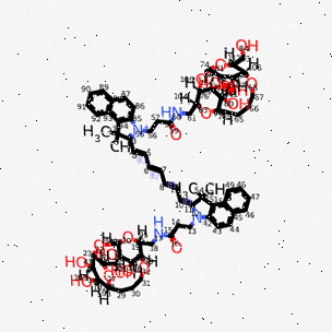 CC1(C)C(/C=C/C=C/C=C/C=C2/N(CCC(=O)NC[C@H]3O[C@@H]4OC5[C@@H](CO)O[C@H](CCCO[C@H]3[C@H](O)[C@H]4O)[C@H](O)[C@H]5O)c3ccc4ccccc4c3C2(C)C)=[N+](CCC(=O)NC[C@H]2O[C@@H]3CCCO[C@H]4[C@H](O)[C@@H](O)C(O[C@H]2[C@H](O)[C@H]3O)O[C@@H]4CO)c2ccc3ccccc3c21